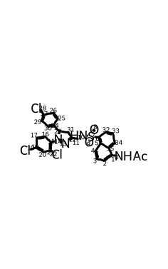 CC(=O)Nc1cccc2c(S(=O)(=O)NCC3=NN(c4ccc(Cl)cc4Cl)C(c4ccc(Cl)cc4)C3)cccc12